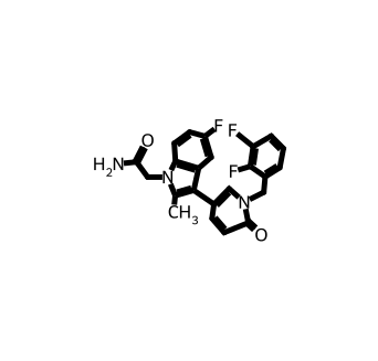 Cc1c(-c2ccc(=O)n(Cc3cccc(F)c3F)c2)c2cc(F)ccc2n1CC(N)=O